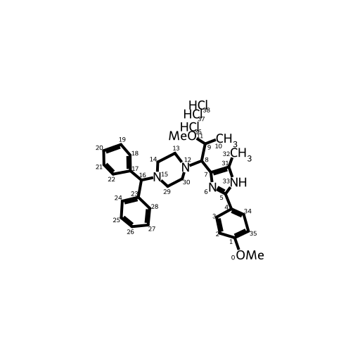 COc1ccc(-c2nc(C(C(C)OC)N3CCN(C(c4ccccc4)c4ccccc4)CC3)c(C)[nH]2)cc1.Cl.Cl.Cl